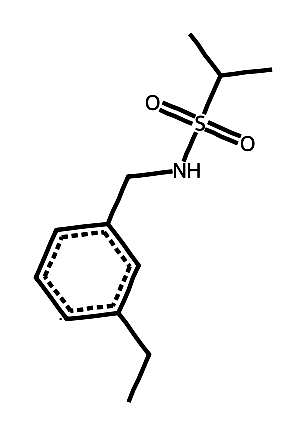 CCc1[c]ccc(CNS(=O)(=O)C(C)C)c1